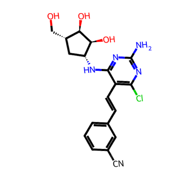 N#Cc1cccc(/C=C/c2c(Cl)nc(N)nc2N[C@@H]2C[C@H](CO)[C@@H](O)[C@H]2O)c1